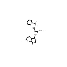 COc1ccc(-c2nc(C(=O)NC(C)c3ccccc3)c(CN)o2)c2ccc(C(F)(F)F)nc12